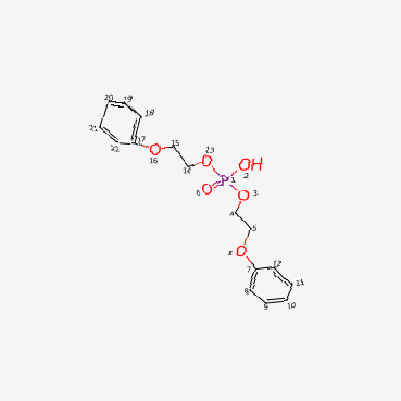 O=P(O)(OCCOc1ccccc1)OCCOc1ccccc1